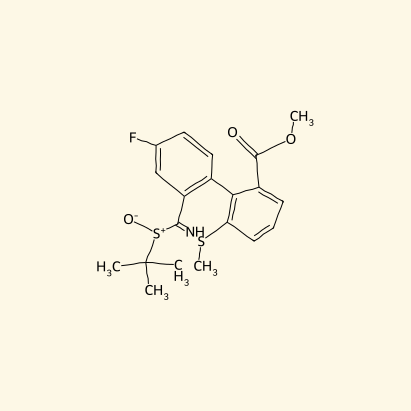 COC(=O)c1cccc(SC)c1-c1ccc(F)cc1C(=N)[S+]([O-])C(C)(C)C